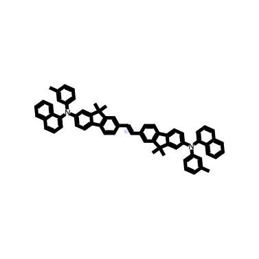 Cc1cccc(N(c2ccc3c(c2)C(C)(C)c2cc(/C=C/c4ccc5c(c4)C(C)(C)c4cc(N(c6cccc(C)c6)c6cccc7ccccc67)ccc4-5)ccc2-3)c2cccc3ccccc23)c1